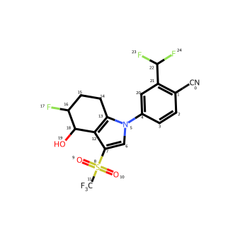 N#Cc1ccc(-n2cc(S(=O)(=O)C(F)(F)F)c3c2CCC(F)C3O)cc1C(F)F